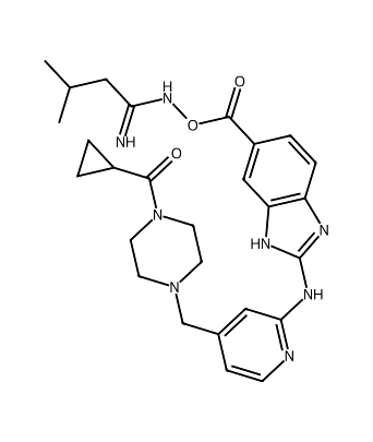 CC(C)CC(=N)NOC(=O)c1ccc2nc(Nc3cc(CN4CCN(C(=O)C5CC5)CC4)ccn3)[nH]c2c1